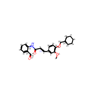 COc1cc(/C=C/C(=O)Nc2ccccc2C=O)ccc1OCC1CCCCC1